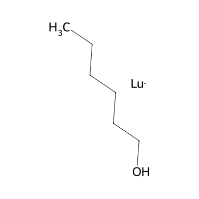 CCCCCCO.[Lu]